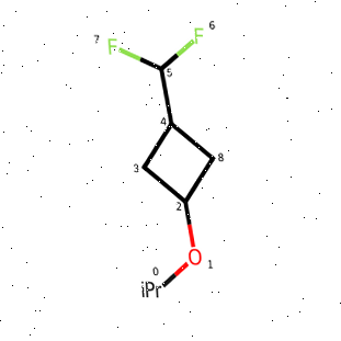 CC(C)OC1CC(C(F)F)C1